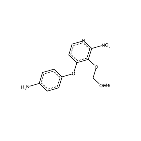 COCOc1c(Oc2ccc(N)cc2)ccnc1[N+](=O)[O-]